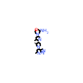 Cc1cc(N2CC[C@@H](c3ncc(N4CCOC[C@@H](N)C4)cc3C)[C@H](C)C2)c2cnn(C)c2n1